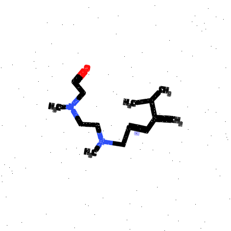 C=C(/C=C/CN(C)CCN(C)CC=O)C(C)C